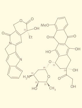 CC[C@@]1(O)C(=O)OCc2c1cc1n(c2=O)Cc2cc3ccccc3nc2-1.COc1cccc2c1C(=O)c1c(O)c3c(c(O)c1C2=O)C[C@@](O)(C(=O)CO)C[C@@H]3O[C@H]1C[C@H](N)[C@H](O)[C@H](C)O1